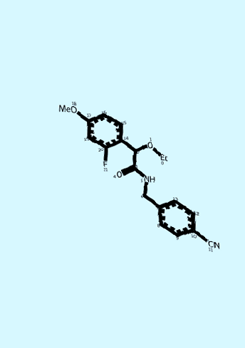 CCOC(C(=O)NCc1ccc(C#N)cc1)c1ccc(OC)cc1F